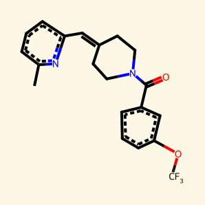 Cc1cccc(C=C2CCN(C(=O)c3cccc(OC(F)(F)F)c3)CC2)n1